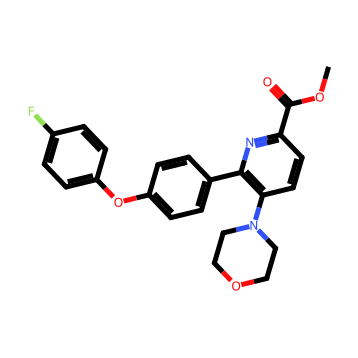 COC(=O)c1ccc(N2CCOCC2)c(-c2ccc(Oc3ccc(F)cc3)cc2)n1